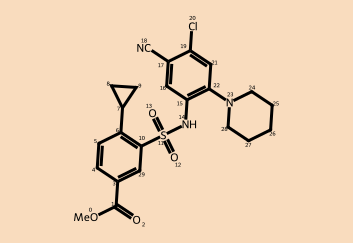 COC(=O)c1ccc(C2CC2)c(S(=O)(=O)Nc2cc(C#N)c(Cl)cc2N2CCCCC2)c1